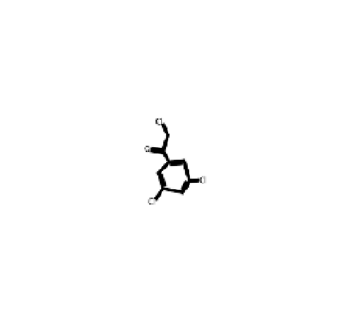 O=C(CCl)c1cc(Cl)cc(Cl)c1